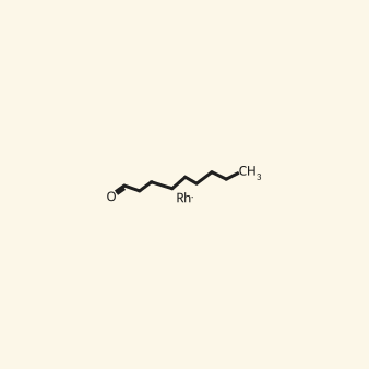 CCCCCCCCC=O.[Rh]